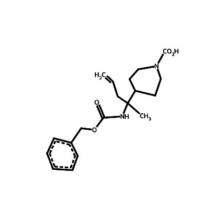 C=CCC(C)(NC(=O)OCc1ccccc1)C1CCN(C(=O)O)CC1